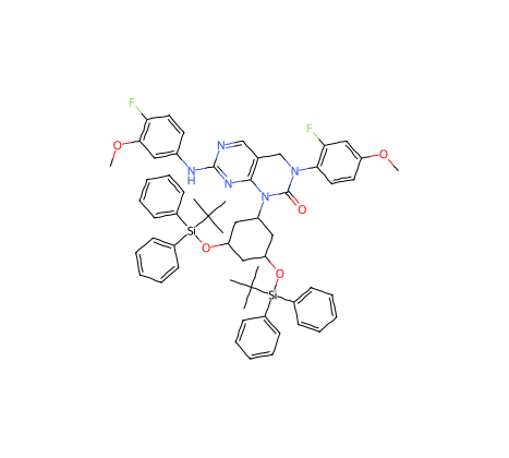 COc1ccc(N2Cc3cnc(Nc4ccc(F)c(OC)c4)nc3N(C3CC(O[Si](c4ccccc4)(c4ccccc4)C(C)(C)C)CC(O[Si](c4ccccc4)(c4ccccc4)C(C)(C)C)C3)C2=O)c(F)c1